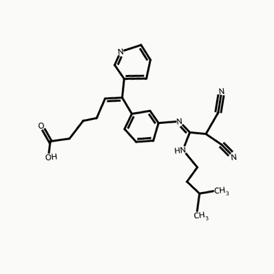 CC(C)CCNC(=Nc1cccc(/C(=C\CCCC(=O)O)c2cccnc2)c1)C(C#N)C#N